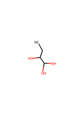 N#CCC(O)C(O)O